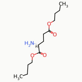 CCCCOC(=O)CC[C@@H](N)C(=O)OCCCC